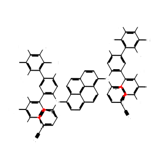 Bc1c(B)c(B)c(-c2cc(-c3c(B)c(B)c(B)c(B)c3B)c(N(c3ccc(C#N)cc3)c3ccc4ccc5c(N(c6ccc(C#N)cc6)c6cc(F)c(-c7c(B)c(B)c(B)c(B)c7B)cc6-c6c(B)c(B)c(B)c(B)c6B)ccc6ccc3c4c65)cc2F)c(B)c1B